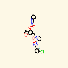 O=C(NCc1ccccc1)Oc1cc(CC(=O)N2CCC[C@H]2C(=O)NCc2cccc(Cl)c2F)cc2occc12